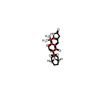 CC(C)(N)c1ccc(S(=O)(=O)N2[C@@H]3CC[C@H]2CC(NC(=O)c2cc4c(cc2Cl)NC(=O)C4)C3)cc1